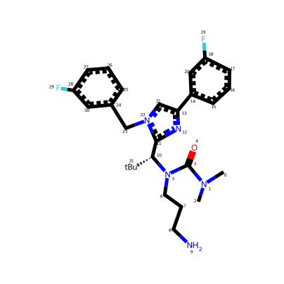 CN(C)C(=O)N(CCCN)[C@@H](c1nc(-c2cccc(F)c2)cn1Cc1cccc(F)c1)C(C)(C)C